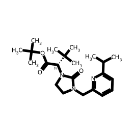 CC(C)c1cccc(CN2CCN([C@H](C(=O)OC(C)(C)C)C(C)(C)C)C2=O)n1